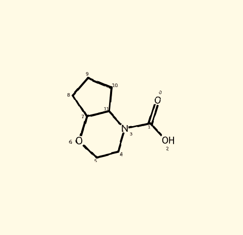 O=C(O)N1CCOC2CCCC21